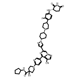 CCC1(C(=O)NC2CCCC2)CCN(c2ccc(-c3nc(-c4cnn([C@H]5CC[C@H](N6CCC(c7ccc(N[C@H]8CCC(=O)NC8=O)cc7F)CC6)CC5)c4)cn4ncc(C#N)c34)cn2)CC1